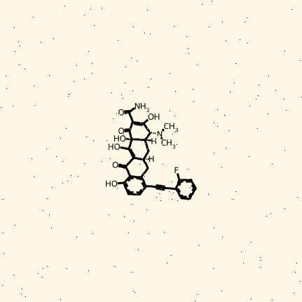 CN(C)[C@H]1C(O)=C(C(N)=O)C(=O)[C@@]2(O)C(O)=C3C(=O)c4c(O)ccc(C#Cc5ccccc5F)c4C[C@@H]3C[C@@H]12